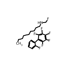 CCCCCCCCCNCF.Fc1ccccc1-c1c(F)c(F)c(F)c(F)c1F